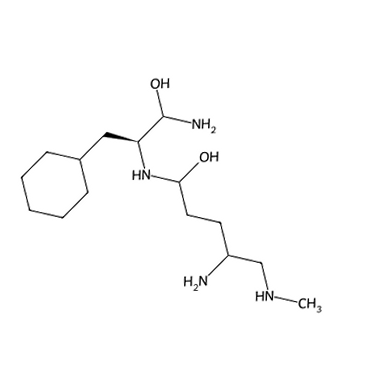 CNCC(N)CCC(O)N[C@@H](CC1CCCCC1)C(N)O